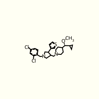 CO[C@@H](C1CC1)C1CCN(CC2CN(Cc3ccc(Cl)cc3Cl)CC2c2ccsc2)CC1